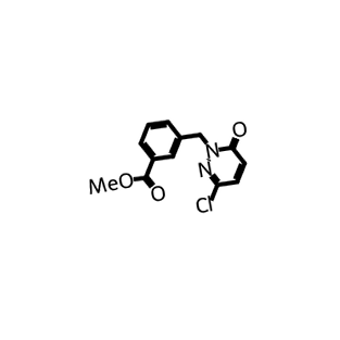 COC(=O)c1cccc(Cn2nc(Cl)ccc2=O)c1